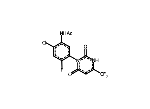 CC(=O)Nc1cc(-n2c(=O)cc(C(F)(F)F)[nH]c2=O)c(F)cc1Cl